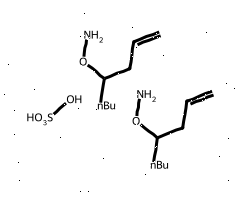 C=CCC(CCCC)ON.C=CCC(CCCC)ON.O=S(=O)(O)O